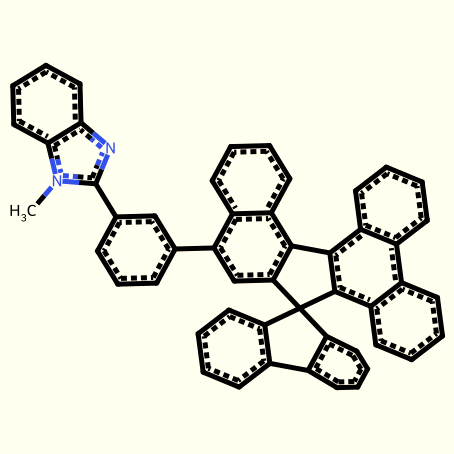 Cn1c(-c2cccc(-c3cc4c(c5ccccc35)-c3c(c5ccccc5c5ccccc35)C43c4ccccc4-c4ccccc43)c2)nc2ccccc21